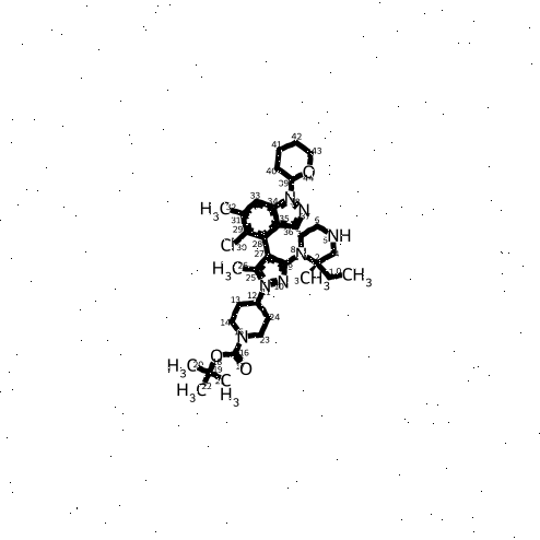 CC[C@@]1(C)CNCCN1c1nn(C2CCN(C(=O)OC(C)(C)C)CC2)c(C)c1-c1c(Cl)c(C)cc2c1cnn2C1CCCCO1